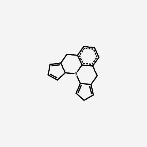 C1=CC2B3C4=CCC=C4Cc4cccc(c43)CC2=C1